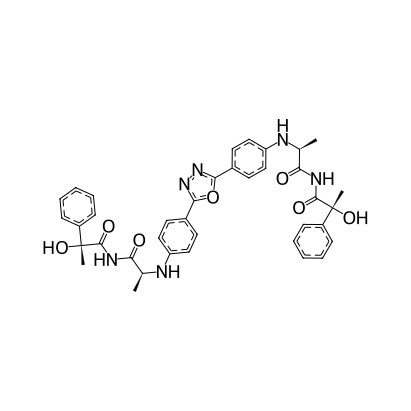 C[C@H](Nc1ccc(-c2nnc(-c3ccc(N[C@@H](C)C(=O)NC(=O)[C@](C)(O)c4ccccc4)cc3)o2)cc1)C(=O)NC(=O)[C@](C)(O)c1ccccc1